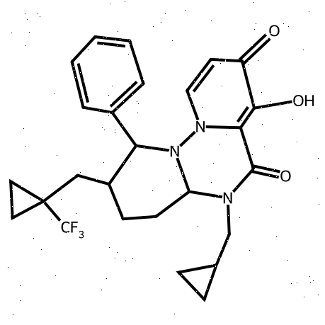 O=C1c2c(O)c(=O)ccn2N2C(c3ccccc3)C(CC3(C(F)(F)F)CC3)CCC2N1CC1CC1